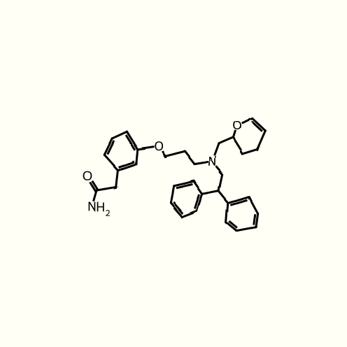 NC(=O)Cc1cccc(OCCCN(CC2CCC=CO2)CC(c2ccccc2)c2ccccc2)c1